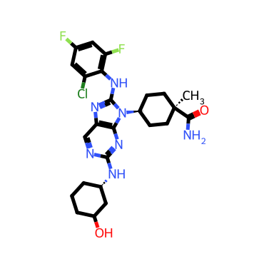 C[C@]1(C(N)=O)CC[C@@H](n2c(Nc3c(F)cc(F)cc3Cl)nc3cnc(N[C@H]4CCCC(O)C4)nc32)CC1